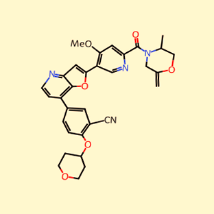 C=C1CN(C(=O)c2cc(OC)c(-c3cc4nccc(-c5ccc(OC6CCOCC6)c(C#N)c5)c4o3)cn2)C(C)CO1